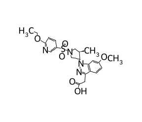 CCOc1ccc(S(=O)(=O)N2C[C@@H](C)[C@@H](n3nc(CC(=O)O)c4ccc(OC)cc43)C2)cn1